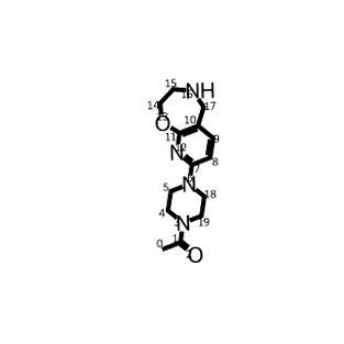 CC(=O)N1CCN(c2ccc3c(n2)OCCNC3)CC1